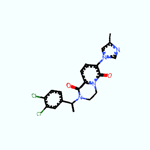 Cc1cn(-c2ccc3n(c2=O)CCN(C(C)c2ccc(Cl)c(Cl)c2)C3=O)cn1